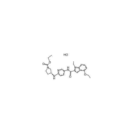 CCOC(=O)N1CC[C@H](Nc2ccc(NC(=O)c3cc4c(OCC)cccc4n3CC)cn2)C1.Cl